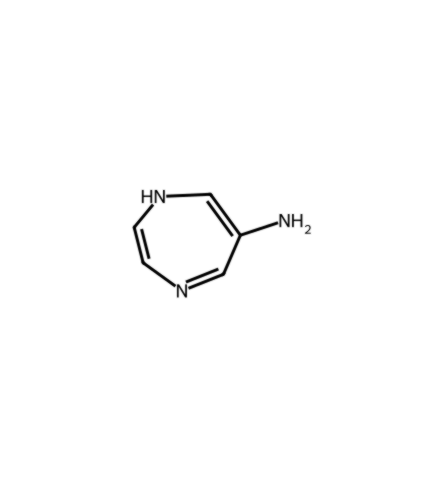 NC1=CNC=CN=C1